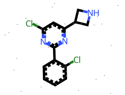 Clc1cc(C2CNC2)nc(-c2ccccc2Cl)n1